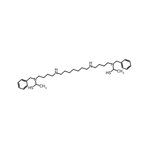 CC(S)N(CCCCNCCCCCCCNCCCCN(Cc1ccccc1)C(C)S)Cc1ccccc1